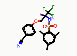 Cc1cc(C)c(S(=O)(=O)NC(I)(COc2ccc(C#N)cc2)C(F)(F)F)c(C)c1